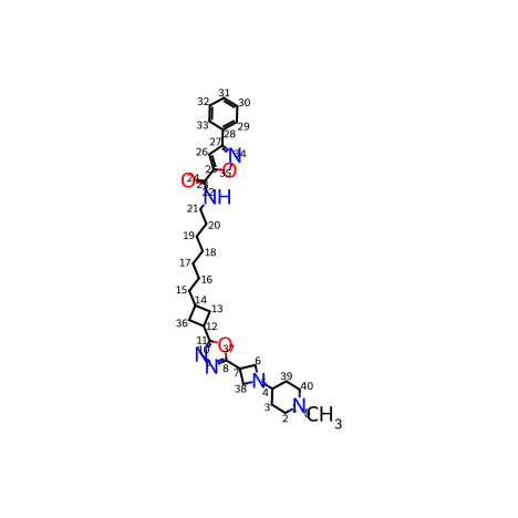 CN1CCC(N2CC(c3nnc(C4CC(CCCCCCCNC(=O)c5cc(-c6ccccc6)no5)C4)o3)C2)CC1